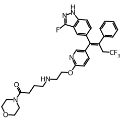 O=C(CCCNCCOc1ccc(C(=C(CC(F)(F)F)c2ccccc2)c2ccc3[nH]nc(F)c3c2)cn1)N1CCOCC1